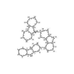 c1ccc2c(c1)sc1cc(-c3cccc4sc5ccc(-n6c7ccccc7c7ccccc76)cc5c34)ccc12